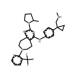 CNCC1(c2ccc(Nc3nc(N4CCCC4C)nc4c3CCN(c3ncccc3C(F)(F)F)CC4)cc2)CC1